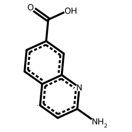 Nc1c[c]c2ccc(C(=O)O)cc2n1